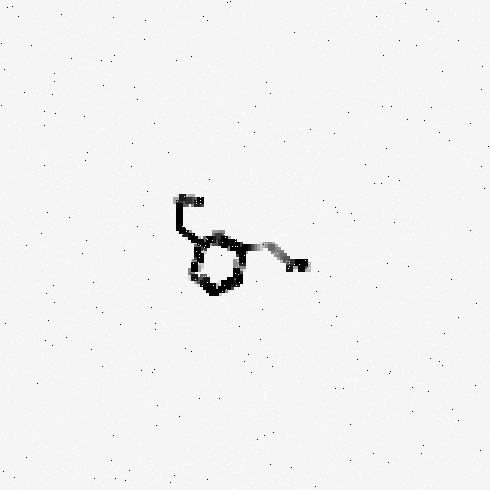 COCc1ccnc(COC)n1